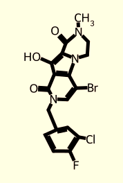 CN1CCn2c(c(O)c3c(=O)n(Cc4ccc(F)c(Cl)c4)cc(Br)c32)C1=O